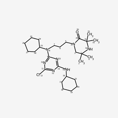 CC1(C)CN(CCCN(c2nc(Cl)nc(NC3CCCCC3)n2)C2CCCCC2)C(=O)C(C)(C)N1